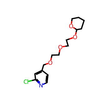 Clc1cc(COCCOCCOC2CCCCO2)ccn1